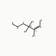 [CH2]C(=CC)C(C)(C)CCC